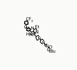 CCC1C=NC(NC2CCN(C3CCN(C4CN(C(=O)OC(C)(C)C)C4)CC3)CC2)=C(C(=N)c2ccc(Oc3ccc(C(F)(F)F)cc3)cc2)C1N